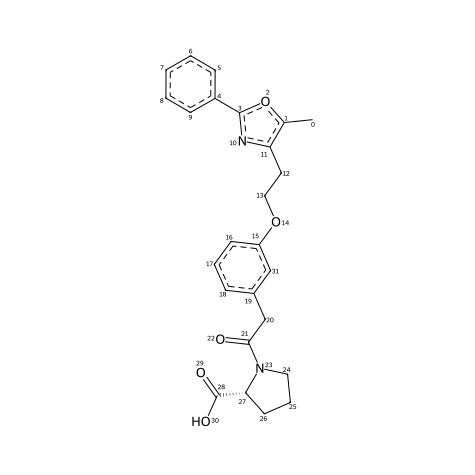 Cc1oc(-c2ccccc2)nc1CCOc1cccc(CC(=O)N2CCC[C@@H]2C(=O)O)c1